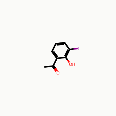 CC(=O)c1cccc(I)c1O